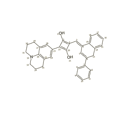 OC1=C(/C=C2\C=C(c3ccccc3)Cc3ccccc32)C(O)=C1c1cc2c3c(c1)CCCN3CCC2